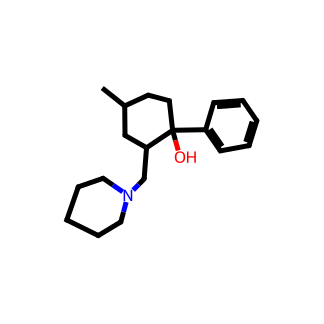 CC1CCC(O)(c2ccccc2)C(CN2CCCCC2)C1